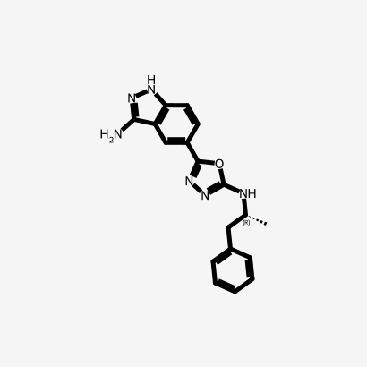 C[C@H](Cc1ccccc1)Nc1nnc(-c2ccc3[nH]nc(N)c3c2)o1